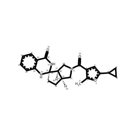 Cc1oc(C2CC2)cc1C(=O)N1C[C@H]2CC[C@]3(NC(=O)c4ccccc4N3)[C@H]2C1